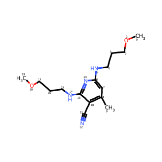 COCCCNc1cc(C)c(C#N)c(NCCCOC)n1